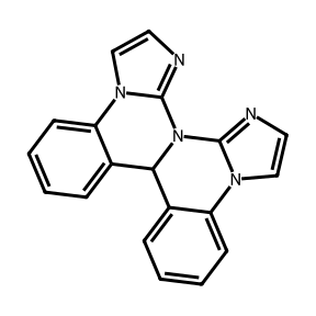 c1ccc2c(c1)C1c3ccccc3-n3ccnc3N1c1nccn1-2